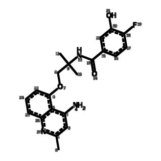 Cc1cc(N)c2c(OCC(C)(C)NC(=O)c3ccc(F)c(O)c3)cccc2n1